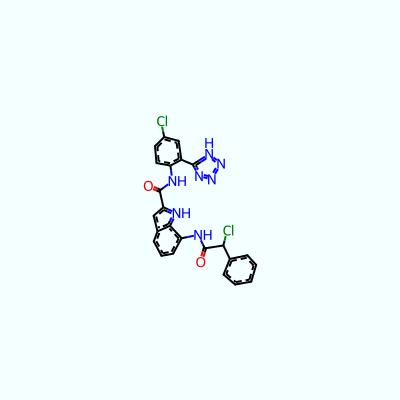 O=C(Nc1ccc(Cl)cc1-c1nnn[nH]1)c1cc2cccc(NC(=O)C(Cl)c3ccccc3)c2[nH]1